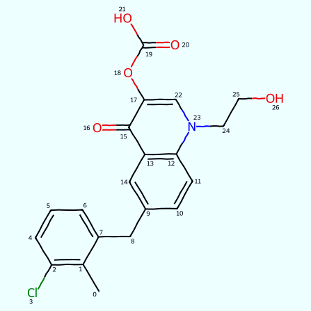 Cc1c(Cl)cccc1Cc1ccc2c(c1)c(=O)c(OC(=O)O)cn2CCO